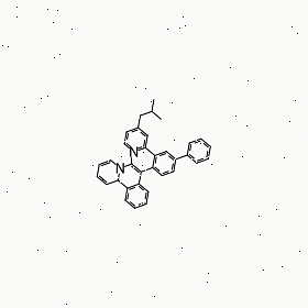 CC1=C(c2ccc(-c3ccccc3)cc2-c2cc(CC(C)C)ccn2)c2ccccc2C2C=CC=CN12